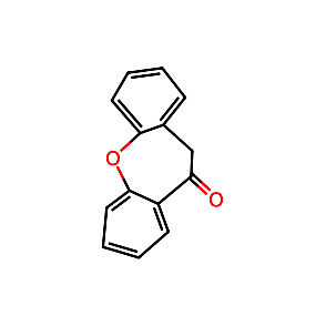 O=C1Cc2ccccc2Oc2ccccc21